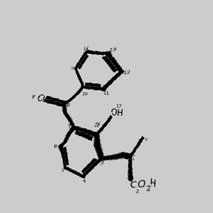 CC(C(=O)O)c1cccc(C(=O)c2ccccc2)c1O